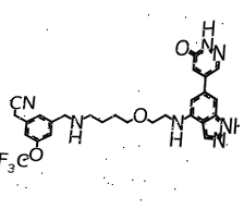 N#CCc1cc(CNCCCCOCCNc2cc(-c3cn[nH]c(=O)c3)cc3[nH]ncc23)cc(OC(F)(F)F)c1